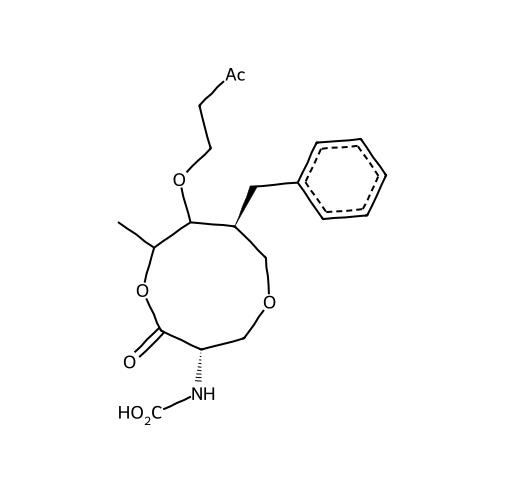 CC(=O)CCOC1C(C)OC(=O)[C@@H](NC(=O)O)COC[C@@H]1Cc1ccccc1